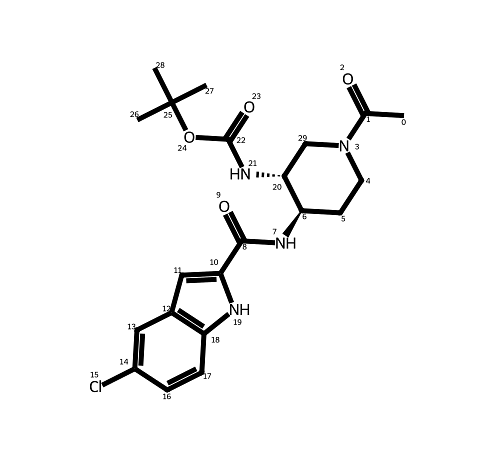 CC(=O)N1CC[C@@H](NC(=O)c2cc3cc(Cl)ccc3[nH]2)[C@H](NC(=O)OC(C)(C)C)C1